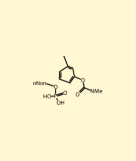 CCCCCCCCCOP(=O)(O)O.CNC(=O)Oc1cccc(C)c1